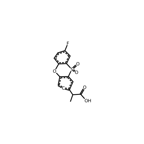 CC(C(=O)O)c1ccc2c(c1)S(=O)(=O)c1cc(F)ccc1O2